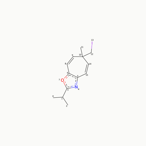 CC(C)c1nc2c(o1)C=CC(C)(CI)C=C2